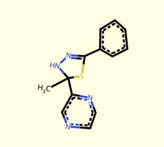 CC1(c2cnccn2)NN=C(c2ccccc2)S1